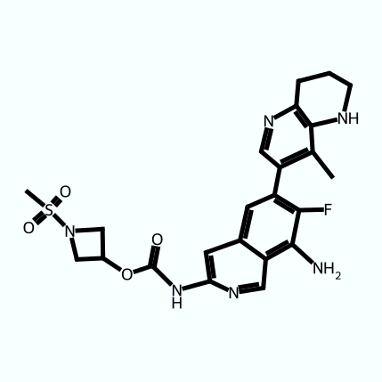 Cc1c(-c2cc3cc(NC(=O)OC4CN(S(C)(=O)=O)C4)ncc3c(N)c2F)cnc2c1NCCC2